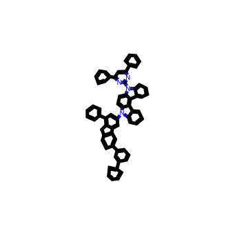 c1ccc(-c2cccc(-c3ccc4c(c3)-c3cc(-n5c6ccccc6c6c7c8ccccc8n(-c8nc(-c9ccccc9)cc(-c9ccccc9)n8)c7ccc65)cc(-c5ccccc5)c3C4)c2)cc1